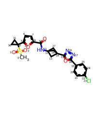 CS(=O)(=O)C1(c2ccc(C(=O)NC34CC(c5nnc(-c6ccc(Cl)cc6)o5)(C3)C4)o2)CC1